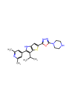 Cc1cc(-c2[nH]c3cc(-c4nnc(N5CCNCC5)o4)sc3c2C(C)C)cc(C)n1